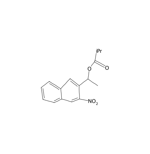 CC(C)C(=O)OC(C)c1cc2ccccc2cc1[N+](=O)[O-]